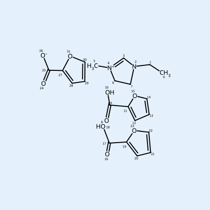 CCN1C=[N+](C)CC1.O=C(O)c1ccco1.O=C(O)c1ccco1.O=C([O-])c1ccco1